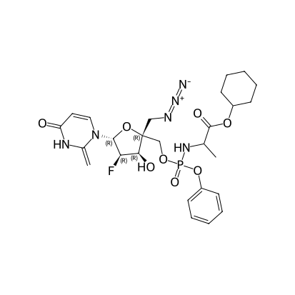 C=C1NC(=O)C=CN1[C@@H]1O[C@](CN=[N+]=[N-])(COP(=O)(NC(C)C(=O)OC2CCCCC2)Oc2ccccc2)[C@@H](O)[C@H]1F